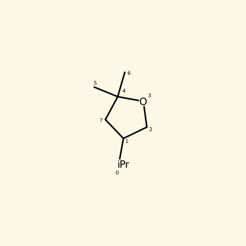 CC(C)C1COC(C)(C)C1